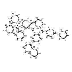 c1ccc(-c2ccc(N(c3ccc(-c4cccc5ccccc45)cc3)c3cccc4c3oc3c5c(ccc34)C(c3ccccc3)(c3ccccc3)c3ccccc3-5)cc2)cc1